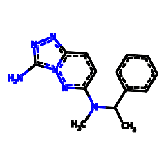 CC(c1ccccc1)N(C)c1ccc2nnc(N)n2n1